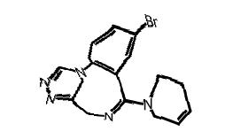 Brc1ccc2c(c1)C(N1CC=CCC1)=NCc1nncn1-2